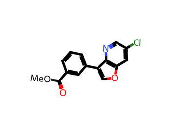 COC(=O)c1cccc(-c2coc3cc(Cl)cnc23)c1